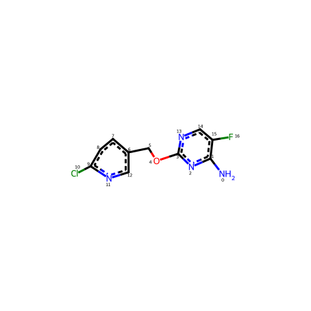 Nc1nc(OCc2ccc(Cl)nc2)ncc1F